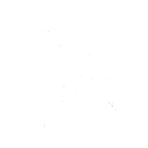 CC1=CC(C)Cc2c1ccc1c2CCc2ccccc2-1.O=c1cccc[nH]1